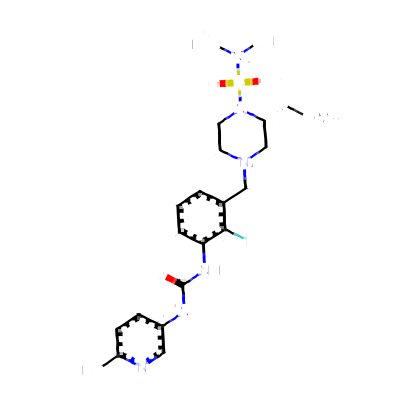 COC[C@@H]1CN(Cc2cccc(NC(=O)Nc3ccc(C)nc3)c2F)CCN1S(=O)(=O)N(C)C